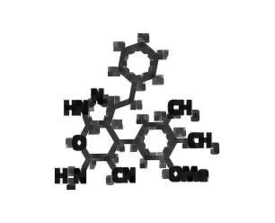 COc1cc(C2C(C#N)=C(N)Oc3[nH]nc(Cc4ccccc4)c32)cc(C)c1C